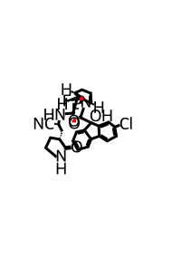 N#C[C@H](C[C@H]1CCCNC1=O)NC(=O)[C@@H]1[C@@H]2CC[C@@H](CC2(F)F)N1C(=O)[C@]1(O)c2ccccc2-c2ccc(Cl)cc21